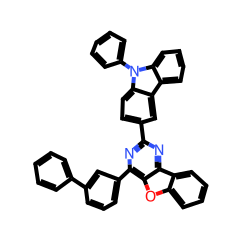 c1ccc(-c2cccc(-c3nc(-c4ccc5c(c4)c4ccccc4n5-c4ccccc4)nc4c3oc3ccccc34)c2)cc1